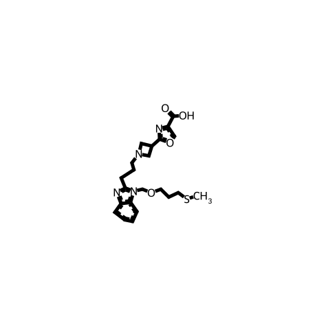 CSCCCOCn1c(CCCN2CC(c3nc(C(=O)O)co3)C2)nc2ccccc21